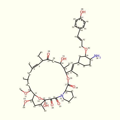 CCC1/C=C(\C)CC(C)CC(OC)C2OC(O)(C(=O)C(=O)N3CCCCC3C(=O)OC(C(C)=CC3CCC(N)C(OCC=Cc4ccc(O)cc4)C3)C(C)C(O)CC1=O)C(C)CC2OC